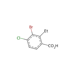 CCc1c(C(=O)O)ccc(Cl)c1Br